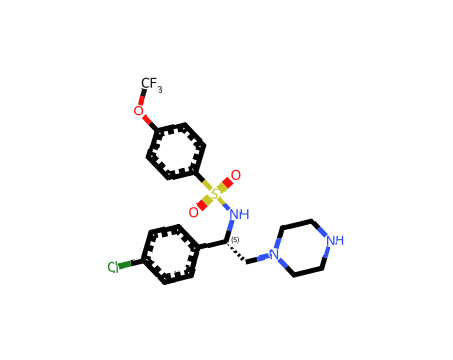 O=S(=O)(N[C@H](CN1CCNCC1)c1ccc(Cl)cc1)c1ccc(OC(F)(F)F)cc1